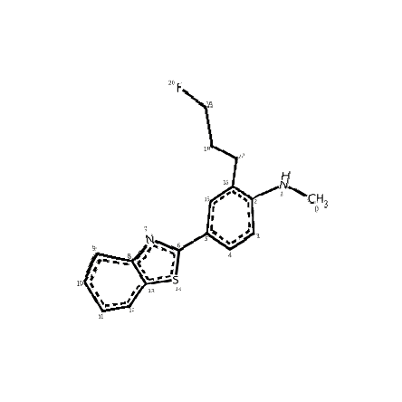 CNc1ccc(-c2nc3ccccc3s2)cc1CCCF